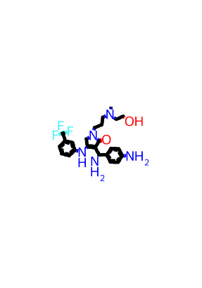 CN(CCO)CCCN1CC(Nc2cccc(C(F)(F)F)c2)=C([C@H](N)c2ccc(N)cc2)C1=O